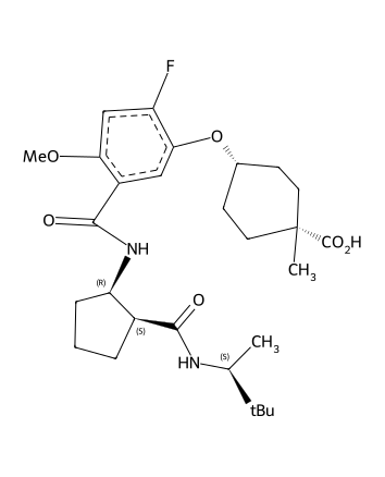 COc1cc(F)c(O[C@H]2CC[C@@](C)(C(=O)O)CC2)cc1C(=O)N[C@@H]1CCC[C@@H]1C(=O)N[C@@H](C)C(C)(C)C